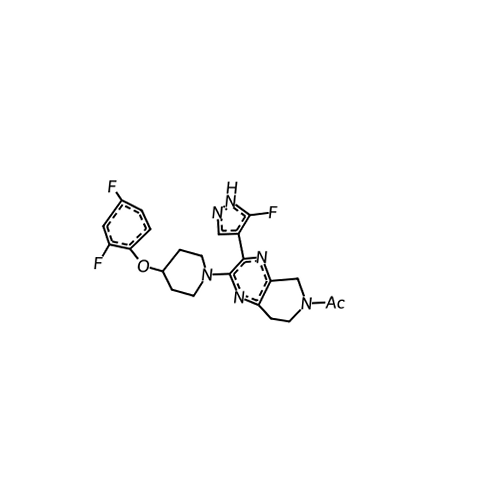 CC(=O)N1CCc2nc(N3CCC(Oc4ccc(F)cc4F)CC3)c(-c3cn[nH]c3F)nc2C1